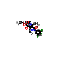 CCOC(=O)C(=O)c1c(C)c(C(=O)Nc2cc(F)c(F)c(F)c2)c(C)n1C